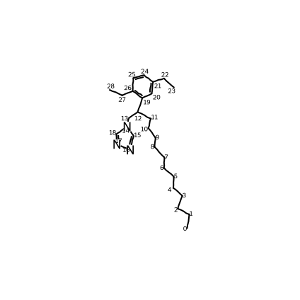 CCCCCCCCCCCCC(Cn1cnnc1)c1cc(CC)ccc1CC